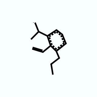 [CH2]C(C)c1cccc(CCC)c1C=C